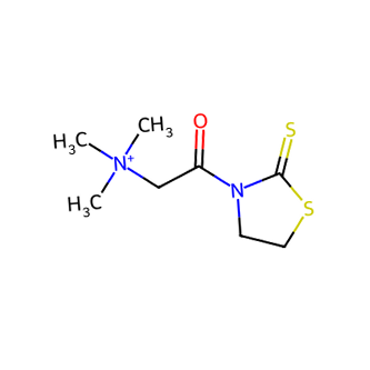 C[N+](C)(C)CC(=O)N1CCSC1=S